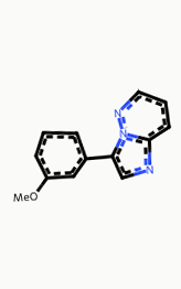 COc1cccc(-c2cnc3cc[c]nn23)c1